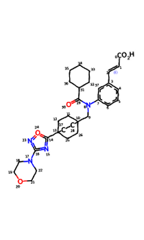 O=C(O)/C=C/c1cccc(N(CC23CCC(c4nc(N5CCOCC5)no4)(CC2)CC3)C(=O)C2CCCCC2)c1